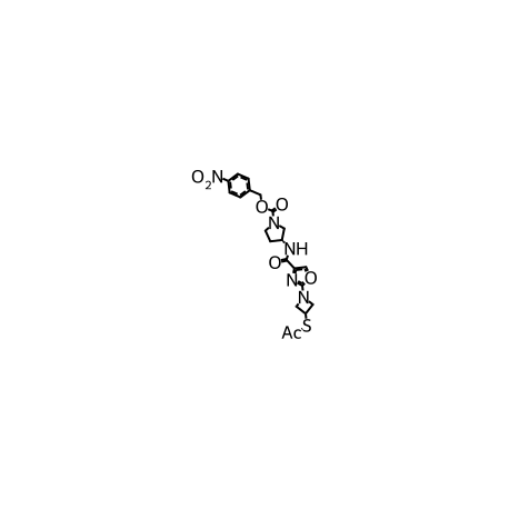 CC(=O)SC1CN(c2nc(C(=O)N[C@H]3CCN(C(=O)OCc4ccc([N+](=O)[O-])cc4)C3)co2)C1